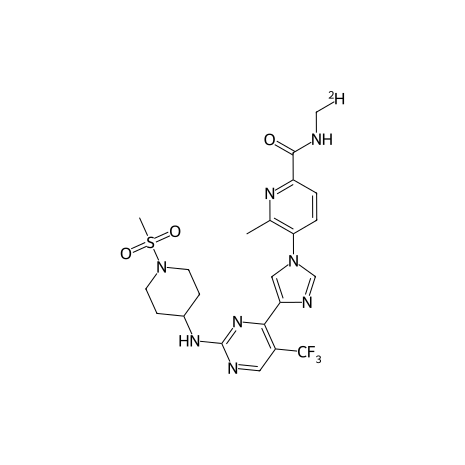 [2H]CNC(=O)c1ccc(-n2cnc(-c3nc(NC4CCN(S(C)(=O)=O)CC4)ncc3C(F)(F)F)c2)c(C)n1